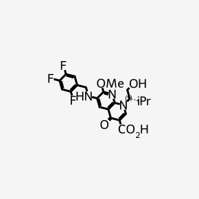 COc1nc2c(cc1NCc1cc(F)c(F)cc1F)c(=O)c(C(=O)O)cn2[C@H](CO)C(C)C